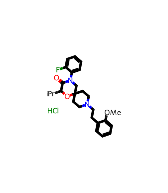 COc1ccccc1CCN1CCC2(CC1)CN(c1ccccc1F)C(=O)C(C(C)C)O2.Cl